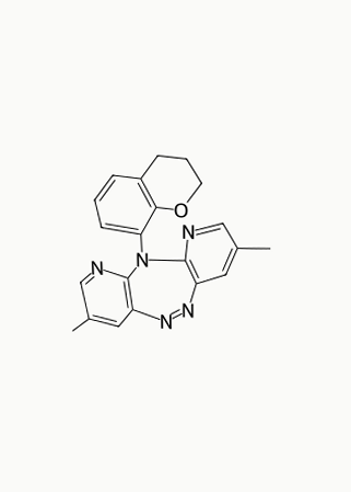 Cc1cnc2c(c1)N=Nc1cc(C)cnc1N2c1cccc2c1OCCC2